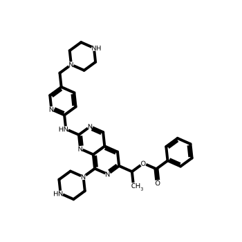 CC(OC(=O)c1ccccc1)c1cc2cnc(Nc3ccc(CN4CCNCC4)cn3)nc2c(N2CCNCC2)n1